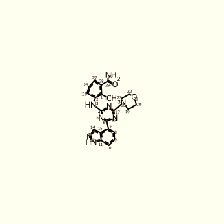 Cc1c(Nc2nc(-c3cccc4[nH]ncc34)nc(N3CCOCC3)n2)cccc1C(N)=O